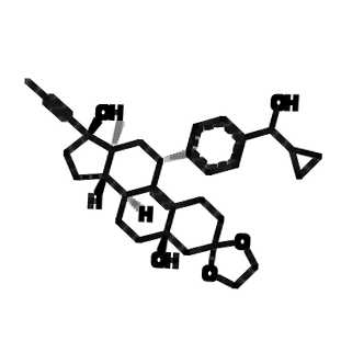 CC#C[C@@]1(O)CC[C@H]2[C@@H]3CC[C@@]4(O)CC5(CCC4=C3[C@@H](c3ccc(C(O)C4CC4)cc3)C[C@@]21C)OCCO5